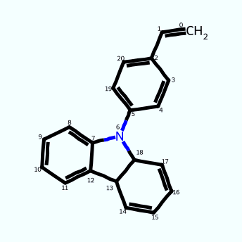 C=Cc1ccc(N2c3ccccc3C3C=CC=CC32)cc1